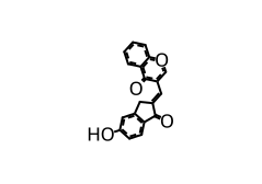 O=C1C(=Cc2coc3ccccc3c2=O)Cc2cc(O)ccc21